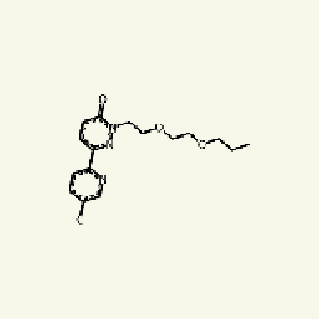 CCCOCCOCCn1nc(-c2ccc(Cl)cn2)ccc1=O